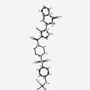 Cc1c(C(=O)N2CCN(S(=O)(=O)c3ccc(OC(F)(F)F)cc3)CC2)cnn1-c1nc2cccn2c(=O)[nH]1